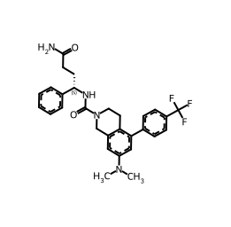 CN(C)c1cc2c(c(-c3ccc(C(F)(F)F)cc3)c1)CCN(C(=O)N[C@@H](CCC(N)=O)c1ccccc1)C2